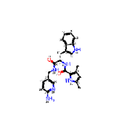 Cc1cc(C)c(C(=O)N[C@@H](Cc2c[nH]c3ccccc23)C(=O)NCc2ccc(N)nc2)[nH]1